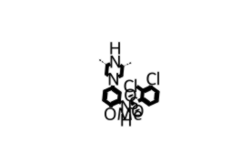 COc1ccc(N2C[C@@H](C)N[C@@H](C)C2)cc1NS(=O)(=O)c1cccc(Cl)c1Cl